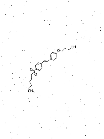 CCCCCCS(=O)(=O)c1ccc(C=Cc2ccc(OCCCO)cc2)cc1